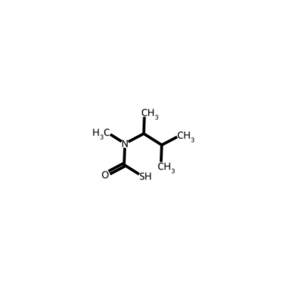 CC(C)C(C)N(C)C(=O)S